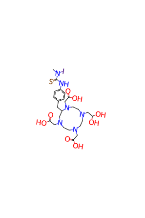 CN(I)C(=S)Nc1ccc(CC2CN(CC(=O)O)CCN(CC(=O)O)CCN(CC(O)O)CCN2CC(=O)O)cc1